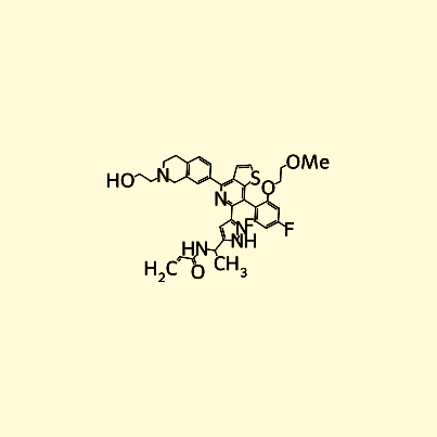 C=CC(=O)NC(C)c1cc(-c2nc(-c3ccc4c(c3)CN(CCO)CC4)c3ccsc3c2-c2c(F)cc(F)cc2OCCOC)n[nH]1